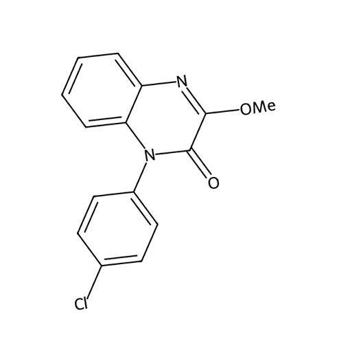 COc1nc2ccccc2n(-c2ccc(Cl)cc2)c1=O